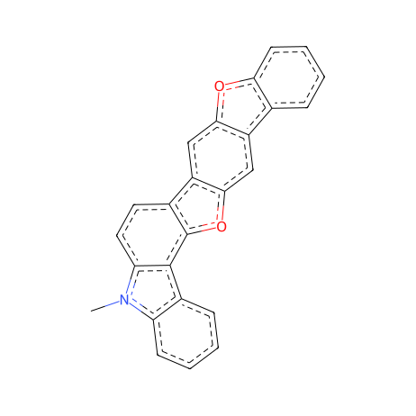 Cn1c2ccccc2c2c3oc4cc5c(cc4c3ccc21)oc1ccccc15